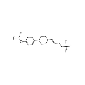 FC(F)Oc1ccc([C@H]2CC[C@H](/C=C/CCC(F)(F)F)CC2)cc1